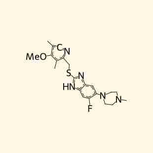 COc1c(C)cnc(CSc2nc3cc(N4CCN(C)CC4)c(F)cc3[nH]2)c1C